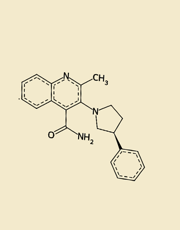 Cc1nc2cc[c]cc2c(C(N)=O)c1N1CC[C@@H](c2ccccc2)C1